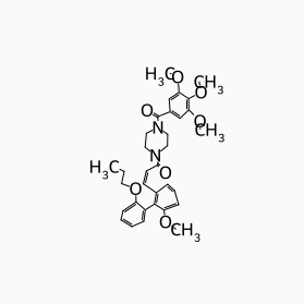 CCCOc1ccccc1-c1c(C=CC(=O)N2CCN(C(=O)c3cc(OC)c(OC)c(OC)c3)CC2)cccc1OC